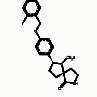 O=C(O)N1[C@@H](c2ccc(OCc3ccccc3F)cc2)CC[C@]12CCNC2=O